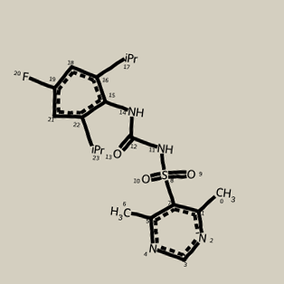 Cc1ncnc(C)c1S(=O)(=O)NC(=O)Nc1c(C(C)C)cc(F)cc1C(C)C